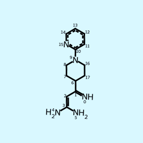 N=C(C=C(N)N)C1CCN(c2ccccn2)CC1